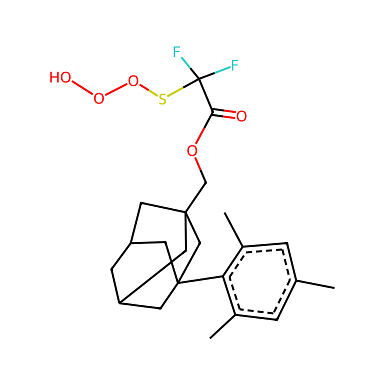 Cc1cc(C)c(C23CC4CC(CC(COC(=O)C(F)(F)SOOO)(C4)C2)C3)c(C)c1